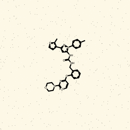 C=C(/N=C(\C=C/N)Oc1ccccc1CNC(=O)Nc1cc(-c2ccoc2C)nn1-c1ccc(C)cc1)N1CCOCC1